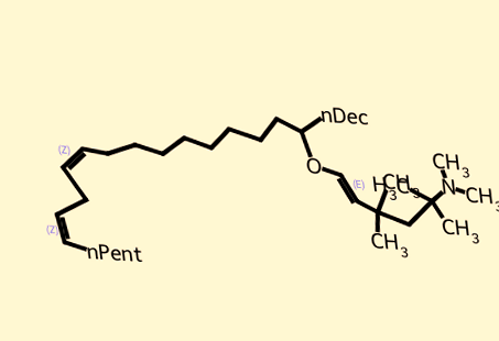 CCCCC/C=C\C/C=C\CCCCCCCCC(CCCCCCCCCC)O/C=C/C(C)(C)CC(C)(C)N(C)C